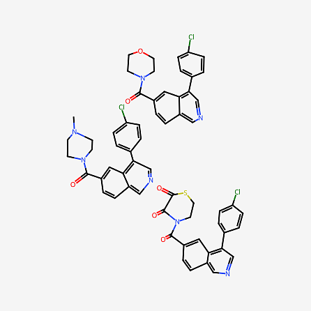 CN1CCN(C(=O)c2ccc3cncc(-c4ccc(Cl)cc4)c3c2)CC1.O=C(c1ccc2cncc(-c3ccc(Cl)cc3)c2c1)N1CCOCC1.O=C1SCCN(C(=O)c2ccc3cncc(-c4ccc(Cl)cc4)c3c2)C1=O